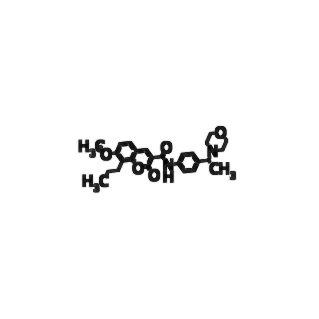 CCCc1c(OC)ccc2cc(C(=O)Nc3ccc(C(C)N4CCOCC4)cc3)c(=O)oc12